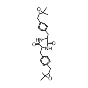 CC1(C)OC1Cc1ccc(CC2NC(=O)C(Cc3ccc(CC4OC4(C)C)cc3)NC2=O)cc1